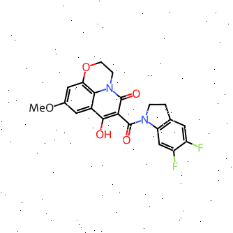 COc1cc2c3c(c1)c(O)c(C(=O)N1CCc4cc(F)c(F)cc41)c(=O)n3CCO2